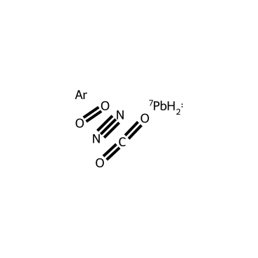 N#N.O=C=O.O=O.[7PbH2].[Ar]